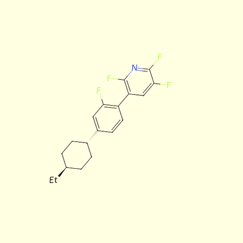 CC[C@H]1CC[C@H](c2ccc(-c3cc(F)c(F)nc3F)c(F)c2)CC1